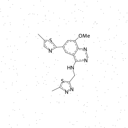 COc1cc(-c2ncc(C)s2)cc2c(NCc3nnc(C)s3)ncnc12